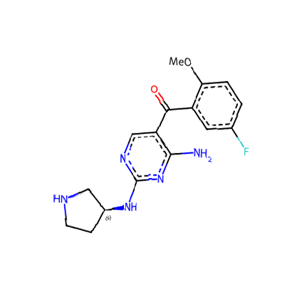 COc1ccc(F)cc1C(=O)c1cnc(N[C@H]2CCNC2)nc1N